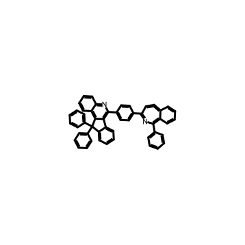 C1=CC(c2ccc(-c3nc4ccccc4c4c3-c3ccccc3C4(c3ccccc3)c3ccccc3)cc2)=NC(c2ccccc2)=c2ccccc2=1